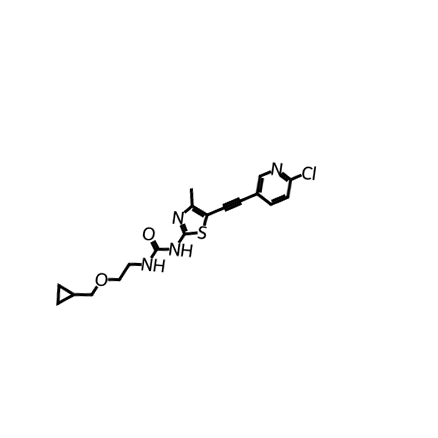 Cc1nc(NC(=O)NCCOCC2CC2)sc1C#Cc1ccc(Cl)nc1